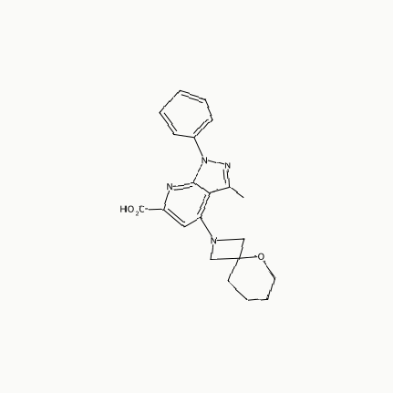 Cc1nn(-c2ccccc2)c2nc(C(=O)O)cc(N3CC4(CCCCO4)C3)c12